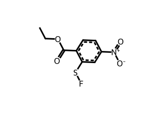 CCOC(=O)c1ccc([N+](=O)[O-])cc1SF